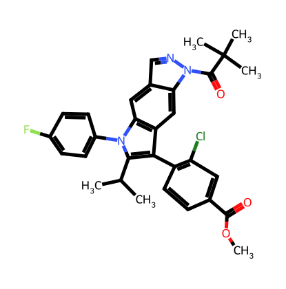 COC(=O)c1ccc(-c2c(C(C)C)n(-c3ccc(F)cc3)c3cc4cnn(C(=O)C(C)(C)C)c4cc23)c(Cl)c1